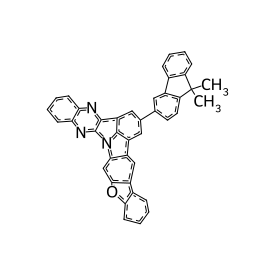 CC1(C)c2ccccc2-c2cc(-c3cc4c5cc6c(cc5n5c7nc8ccccc8nc7c(c3)c45)oc3ccccc36)ccc21